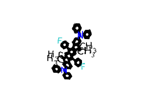 CC1(C)c2cc(N(c3ccccc3)c3ccccc3)ccc2-c2c1cc1c(-c3ccc(F)cc3)c3c(cc1c2-c1ccc(F)cc1)C(C)(C)c1cc(N(c2ccccc2)c2ccccc2)ccc1-3